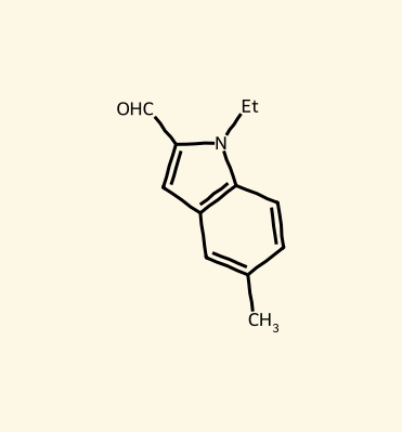 CCn1c(C=O)cc2cc(C)ccc21